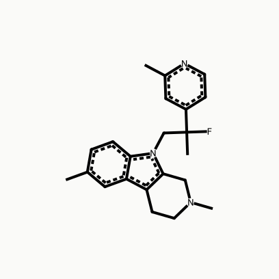 Cc1ccc2c(c1)c1c(n2CC(C)(F)c2ccnc(C)c2)CN(C)CC1